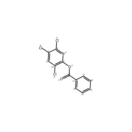 O=C(Oc1nc(Cl)c(Cl)cc1Cl)c1ccccc1